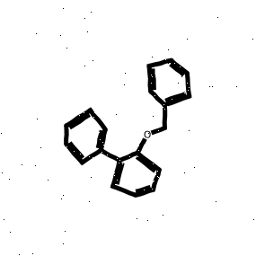 [c]1ccccc1-c1ccccc1OCc1ccccc1